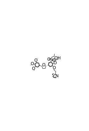 CCCOc1c(OCCc2nccs2)cc([C@@H]2CC[C@@H](c3cc(OC)c(OC)c(OC)c3)O2)cc1S(=O)(=O)CC(C)O